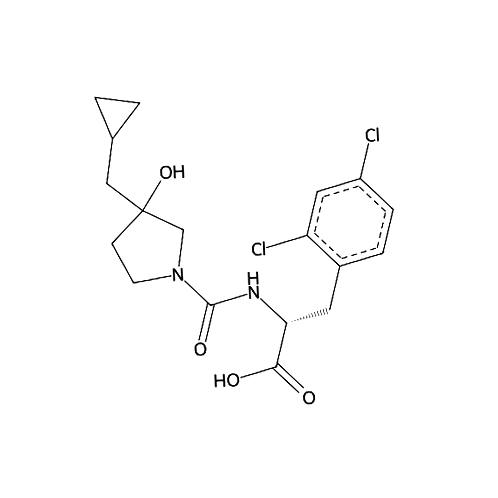 O=C(O)[C@@H](Cc1ccc(Cl)cc1Cl)NC(=O)N1CCC(O)(CC2CC2)C1